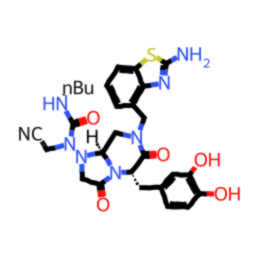 CCCCNC(=O)N(CC#N)N1CC(=O)N2[C@@H](Cc3ccc(O)c(O)c3)C(=O)N(Cc3cccc4sc(N)nc34)C[C@@H]21